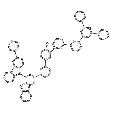 c1ccc(-c2ccc3c(c2)c2ccccc2n3-c2cc(-c3cccc(-c4ccc5oc6ccc(-c7cccc(-c8nc(-c9ccccc9)nc(-c9ccccc9)n8)c7)cc6c5c4)c3)cc3c2oc2ccccc23)cc1